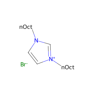 CCCCCCCCn1cc[n+](CCCCCCCC)c1.[Br-]